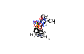 C#Cc1cnc(NS(=O)(=O)c2cccc3c(N(C)C)cccc23)c(OC)n1